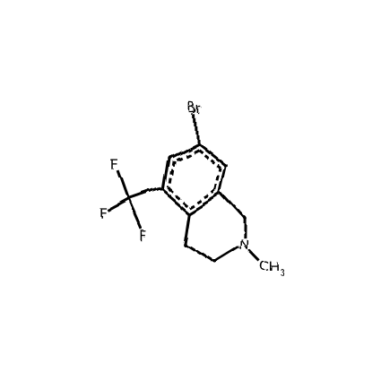 CN1CCc2c(cc(Br)cc2C(F)(F)F)C1